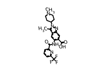 Cc1c2cc(NC(=O)c3cccc(C(F)(F)F)n3)c(C(=O)O)cc2nn1C1CCN(C)CC1